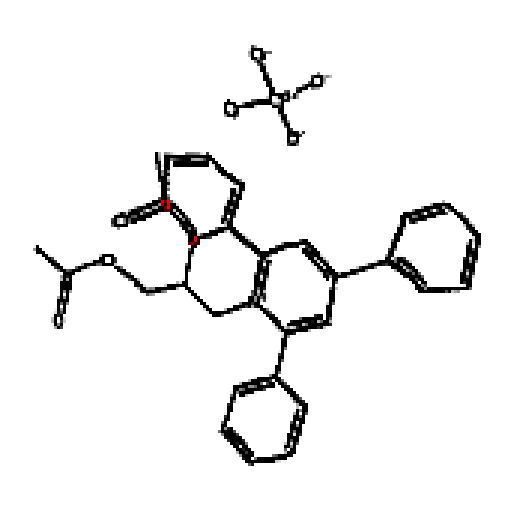 CC(=O)OCC(C[n+]1c(-c2ccccc2)cc(-c2ccccc2)cc1-c1ccccc1)OC(C)=O.[O-][Cl+3]([O-])([O-])[O-]